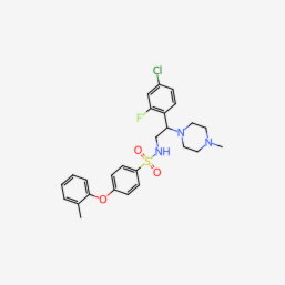 Cc1ccccc1Oc1ccc(S(=O)(=O)NCC(c2ccc(Cl)cc2F)N2CCN(C)CC2)cc1